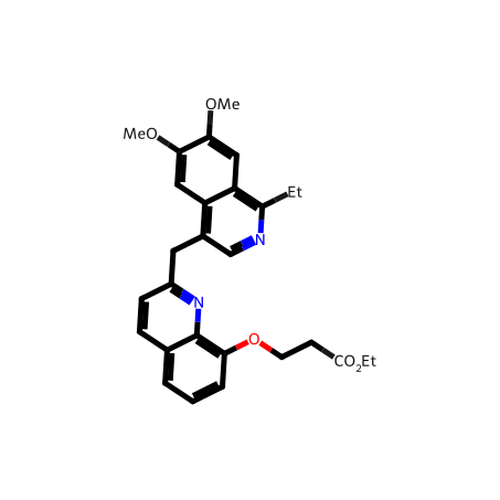 CCOC(=O)CCOc1cccc2ccc(Cc3cnc(CC)c4cc(OC)c(OC)cc34)nc12